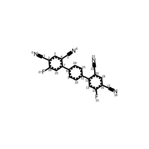 N#Cc1cc(C#N)c(-c2ccc(-c3cc(F)c(C#N)cc3C#N)cc2)cc1F